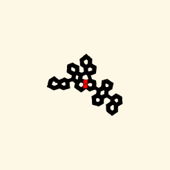 c1cc(-c2ccc3ccccc3c2-c2c3ccccc3c(-c3ccc4ccccc4c3)c3ccccc23)cc(-c2c3ccccc3c(-c3cccc4ccccc34)c3ccccc23)c1